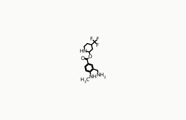 CNc1ccc(C(=O)OC2CC(C(F)(F)F)CCN2)cc1CN